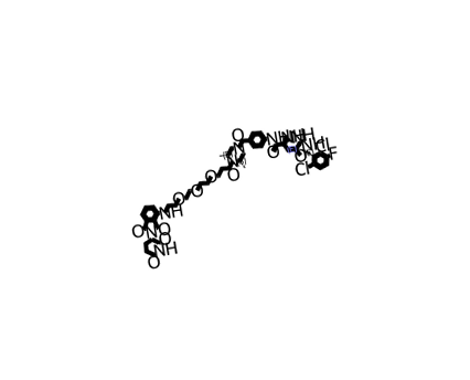 C[C@@H]1CN(C(=O)c2ccc(NC(=O)C(=N)/C=C3/O[C@@H](c4c(Cl)ccc(F)c4Cl)NC3=N)cc2)C[C@H](C)N1C(=O)CCOCCOCCOCCNc1cccc2c1C(=O)N(C1CCC(=O)NC1=O)C2=O